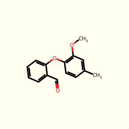 COc1cc(C)ccc1Oc1ccccc1C=O